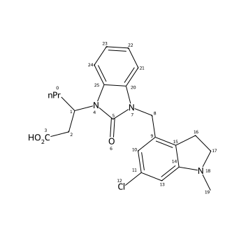 CCCC(CC(=O)O)n1c(=O)n(Cc2cc(Cl)cc3c2CCN3C)c2ccccc21